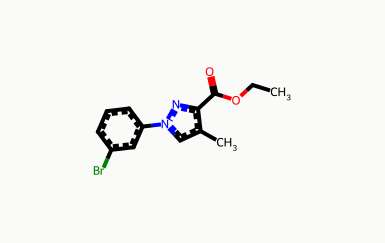 CCOC(=O)c1nn(-c2cccc(Br)c2)cc1C